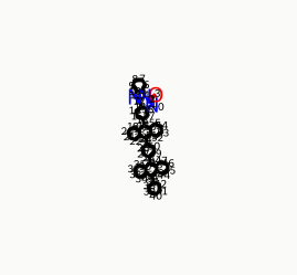 Cn1c(=O)n2c3ccccc3nc2c2ccc(-c3c4ccccc4c(-c4ccc(-c5c6ccccc6c(-c6ccccc6)c6ccccc56)cc4)c4ccccc34)cc21